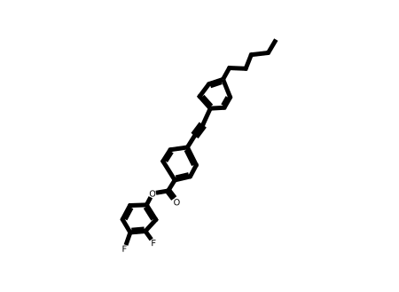 CCCCCc1ccc(C#Cc2ccc(C(=O)Oc3ccc(F)c(F)c3)cc2)cc1